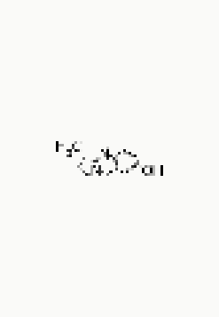 C[C@H]1CCN2Cc3cc(O)ccc3N=C12